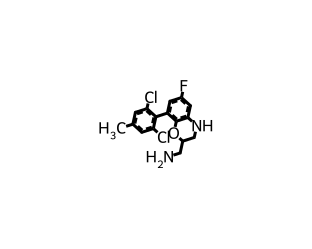 Cc1cc(Cl)c(-c2cc(F)cc3c2OC(CN)CN3)c(Cl)c1